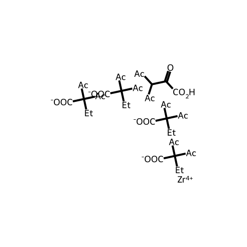 CC(=O)C(C(C)=O)C(=O)C(=O)O.CCC(C(C)=O)(C(C)=O)C(=O)[O-].CCC(C(C)=O)(C(C)=O)C(=O)[O-].CCC(C(C)=O)(C(C)=O)C(=O)[O-].CCC(C(C)=O)(C(C)=O)C(=O)[O-].[Zr+4]